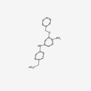 O=C(O)Cc1ccc(Nc2ccc([N+](=O)[O-])c(OCc3ccccc3)c2)cc1